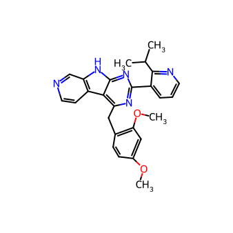 COc1ccc(Cc2nc(-c3cccnc3C(C)C)nc3[nH]c4cnccc4c23)c(OC)c1